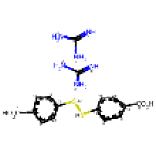 N=C(N)N.N=C(N)N.O=C(O)c1ccc(SSc2ccc(C(=O)O)cc2)cc1